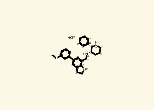 COc1cccc(-c2cc3c(c(CN[C@H]4CCCN[C@H]4c4ccccc4)c2)OCC3)c1.Cl